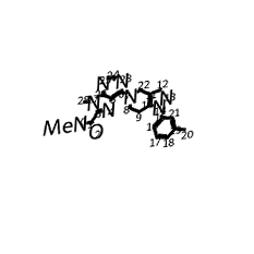 CNC(=O)c1nc2c(N3CCc4c(cnn4-c4cccc(C)c4)C3)ncnc2n1C